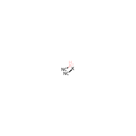 BC#N.N#[C][K]